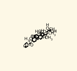 C[C@@H]1C[C@H]([C@H](O)C(C)(C)O)O[C@H]2[C@H]1[C@@]1(C)CC[C@@]34C[C@@]35CC[C@H](OC(=O)N3CCOCC3)C(C)(C)[C@@H]5CC[C@H]4[C@]1(C)[C@H]2O